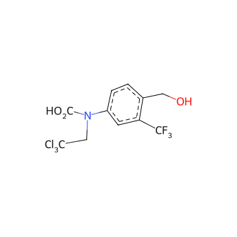 O=C(O)N(CC(Cl)(Cl)Cl)c1ccc(CO)c(C(F)(F)F)c1